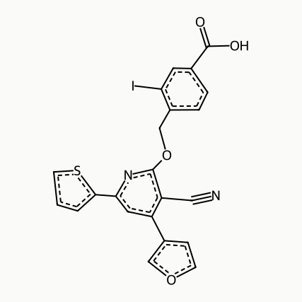 N#Cc1c(-c2ccoc2)cc(-c2cccs2)nc1OCc1ccc(C(=O)O)cc1I